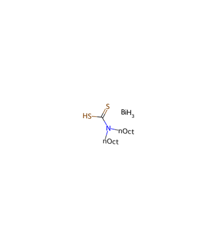 CCCCCCCCN(CCCCCCCC)C(=S)S.[BiH3]